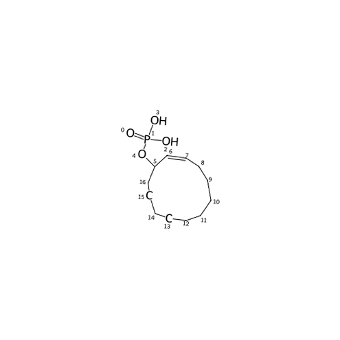 O=P(O)(O)OC1/C=C\CCCCCCCCC1